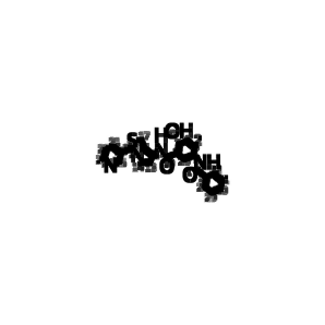 O.O=C(Nc1cccc(C(=O)Nc2ccn3c2CSC3c2cccnc2)c1)c1ccccc1